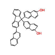 Oc1ccc2cc(C3(c4ccc5cc(O)ccc5c4)c4ccccc4-c4ccc(-c5ccc6ccccc6c5)cc43)ccc2c1